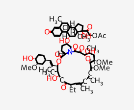 CC(=O)OCC(=O)[C@@]1(O)CC[C@H]2[C@@H]3C[C@H](C)C4=CC(=O)C=C[C@]4(C)[C@H]3[C@@H](O)C[C@@]21C.CC[C@@H]1/C=C(\C)C[C@H](C)C[C@H](OC)[C@H]2O[C@@](O)(C(=O)C(=O)N3CCCC[C@H]3C(=O)O[C@H](/C(C)=C/[C@@H]3CC[C@@H](O)[C@H](OC)C3)[C@H](C)[C@@H](O)CC1=O)[C@H](C)C[C@@H]2OC